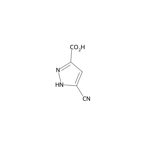 N#Cc1cc(C(=O)O)n[nH]1